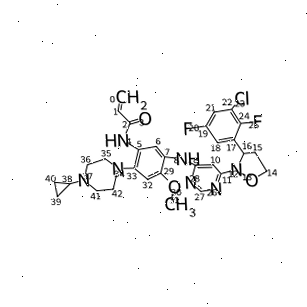 C=CC(=O)Nc1cc(Nc2cc(N3OCCC3c3cc(F)cc(Cl)c3F)ncn2)c(OC)cc1N1CCN(C2CC2)CC1